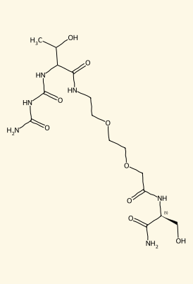 CC(O)C(NC(=O)NC(N)=O)C(=O)NCCOCCOCC(=O)N[C@@H](CO)C(N)=O